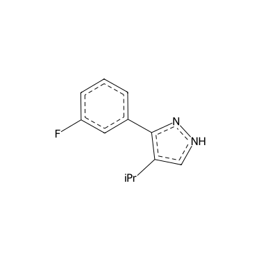 CC(C)c1c[nH]nc1-c1cccc(F)c1